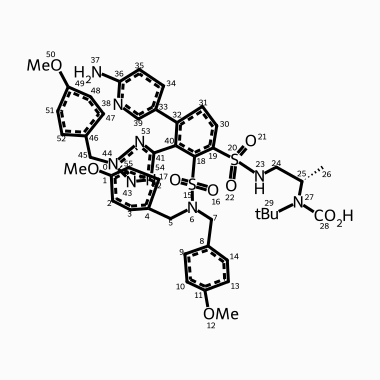 COc1ccc(CN(Cc2ccc(OC)cc2)S(=O)(=O)c2c(S(=O)(=O)NC[C@H](C)N(C(=O)O)C(C)(C)C)ccc(-c3ccc(N)nc3)c2-c2nnn(Cc3ccc(OC)cc3)n2)cc1